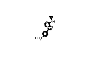 O=C(O)c1ccc(-c2cnc3c(NC4CC4)nccn23)cc1